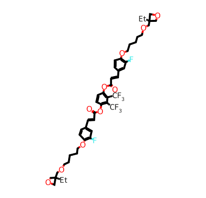 CCC1(COCCCCCOc2ccc(/C=C/C(=O)Oc3ccc(OC(=O)/C=C/c4ccc(OCCCCCOCC5(CC)COC5)c(F)c4)c(C(F)(F)F)c3C(F)(F)F)cc2F)COC1